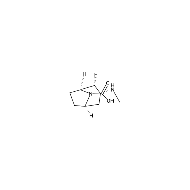 CN[C@@H]1C[C@H]2CC[C@@H]([C@@H]1F)N2C(=O)O